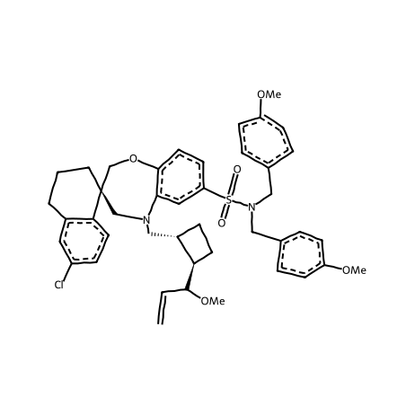 C=CC(OC)[C@@H]1CC[C@H]1CN1C[C@@]2(CCCc3cc(Cl)ccc32)COc2ccc(S(=O)(=O)N(Cc3ccc(OC)cc3)Cc3ccc(OC)cc3)cc21